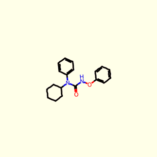 O=C(NOc1ccccc1)N(c1ccccc1)C1CCCCC1